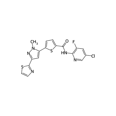 Cn1nc(-c2nccs2)cc1-c1ccc(C(=O)Nc2ncc(Cl)cc2F)s1